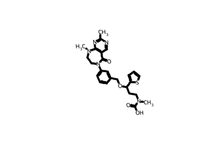 Cc1ncc2c(n1)N(C)CCN(c1cccc(COC(CCN(C)C(=O)O)c3cccs3)c1)C2=O